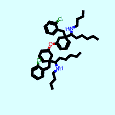 CCCCCC(NCCCC)C1(Cc2ccccc2Cl)C=CC=C(OC2=CC=CC(Cc3ccccc3Cl)(C(CCCCC)NCCCC)C2)C1